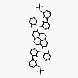 Cc1ccccc1N(c1ccc2ccc3c(N(c4ccccc4C)c4cccc5c4oc4c(CC(C)(C)C)cccc45)ccc4ccc1c2c43)c1cccc2c1oc1c(CC(C)(C)C)cccc12